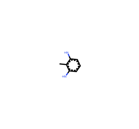 Cc1c([NH])cccc1[NH]